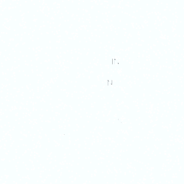 CC(C)C1(C)CC(Sc2ccc(=O)[nH]n2)C1